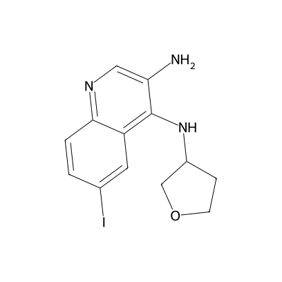 Nc1cnc2ccc(I)cc2c1NC1CCOC1